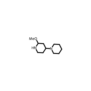 COC1CC(N2CCCCC2)CCN1